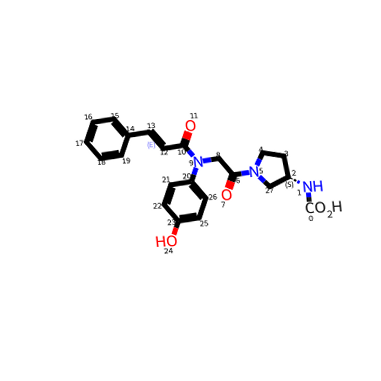 O=C(O)N[C@H]1CCN(C(=O)CN(C(=O)/C=C/c2ccccc2)c2ccc(O)cc2)C1